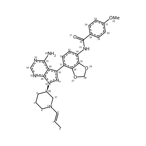 CC=CN1CCC[C@@H](n2nc(-c3ccc(NC(=O)c4ccc(OC)cc4)c4c3OCO4)c3c(N)ncnc32)C1